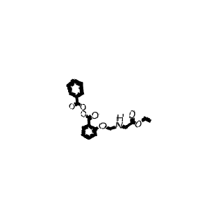 CCOC(=O)CNCOc1ccccc1C(=O)OOC(=O)c1ccccc1